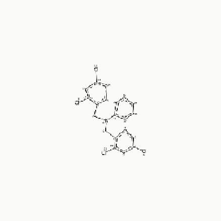 Clc1ccc(CN(Cc2ccc(Cl)cc2Cl)c2ccccc2)c(Cl)c1